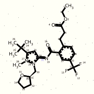 CCOC(=O)CCc1ccc(C(F)(F)F)cc1C(=O)/N=c1\cc(C(C)(C)C)n(C)n1C[C@H]1CCCO1